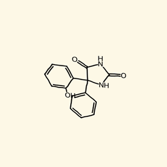 O=C1NC(=O)C(c2ccccc2)(c2ccccc2O)N1